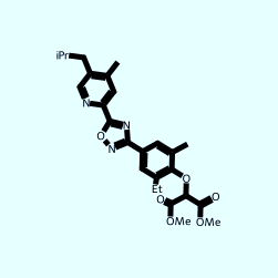 CCc1cc(-c2noc(-c3cc(C)c(CC(C)C)cn3)n2)cc(C)c1OC(C(=O)OC)C(=O)OC